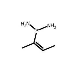 CC=C(C)P(N)N